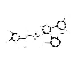 COc1cccc(OC)c1-n1c(NS(=O)(=O)[C@@H](C)[C@H](OC)c2nc(C)c(C)s2)nnc1-c1cncc(C)c1